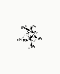 CCC[O][Ti]([O]CCC)([O]CCC)[O][Si](C(C)C)(C(C)C)C(C)C